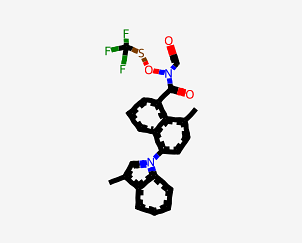 Cc1cn(-c2ccc(C)c3c(C(=O)N(C=O)OSC(F)(F)F)cccc23)c2ccccc12